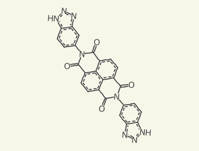 O=C1c2ccc3c4c(ccc(c24)C(=O)N1c1ccc2[nH]nnc2c1)C(=O)N(c1ccc2[nH]nnc2c1)C3=O